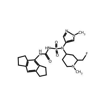 CN1CCC(N(c2cnn(C)c2)S(=O)(=O)NC(=O)Nc2c3c(cc4c2CCC4)CCC3)CC1CF